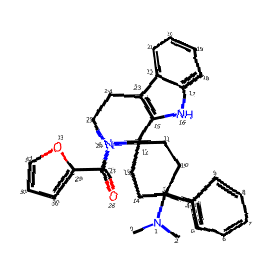 CN(C)C1(c2ccccc2)CCC2(CC1)c1[nH]c3ccccc3c1CCN2C(=O)c1ccco1